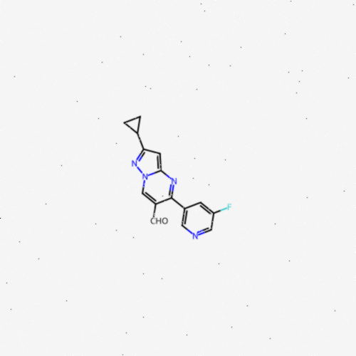 O=Cc1cn2nc(C3CC3)cc2nc1-c1cncc(F)c1